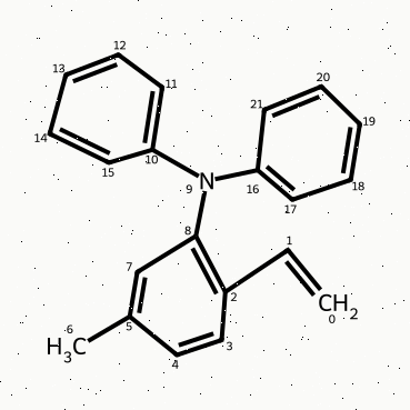 C=Cc1ccc(C)cc1N(c1ccccc1)c1ccccc1